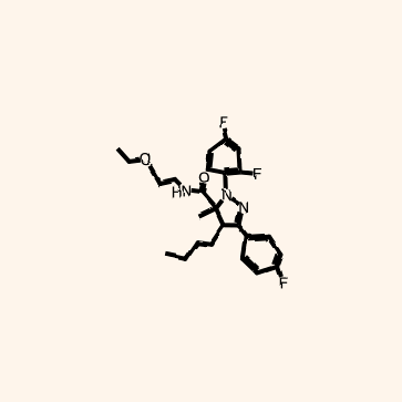 CCCCC1C(c2ccc(F)cc2)=NN(c2ccc(F)cc2F)C1(C)C(=O)NCCOCC